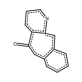 O=c1cc2ccccc2cc2ncccc12